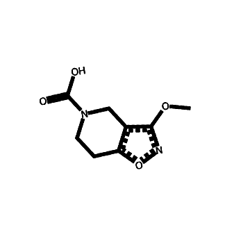 COc1noc2c1CN(C(=O)O)CC2